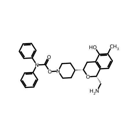 Cc1ccc2c(c1O)C[C@@H](C1CCN(OC(=O)N(c3ccccc3)c3ccccc3)CC1)O[C@H]2CN